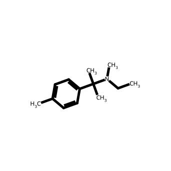 CCN(C)C(C)(C)c1ccc(C)cc1